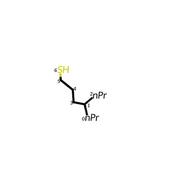 CCCC(CCC)CCCS